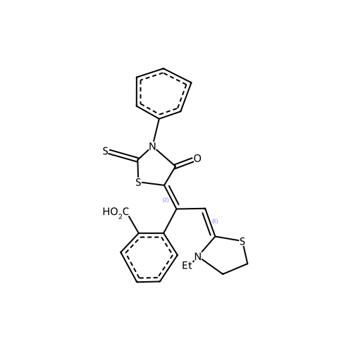 CCN1CCS/C1=C/C(=C1/SC(=S)N(c2ccccc2)C1=O)c1ccccc1C(=O)O